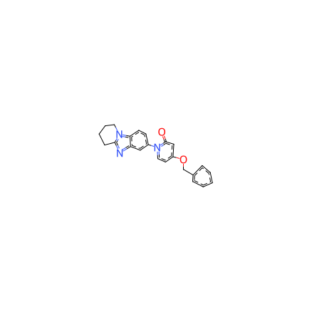 O=c1cc(OCc2ccccc2)ccn1-c1ccc2c(c1)nc1n2CCCC1